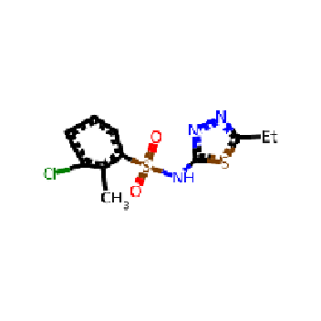 CCc1nnc(NS(=O)(=O)c2cccc(Cl)c2C)s1